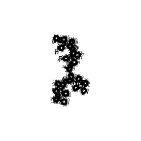 Cc1cccc2c1oc1c(N(c3ccc(F)cc3)c3cc4c5cc(N(c6ccc(F)cc6)c6cccc7c6oc6c(C)cc(-c8ccc9c(N(c%10ccccc%10)c%10cccc%11c%10oc%10c(C%12CCCCC%12)cccc%10%11)cc%10c%11cc(N(c%12ccccc%12)c%12cccc%13c%12oc%12c(C%14CCCCC%14)cccc%12%13)c%12ccccc%12c%11oc%10c9c8)cc67)c6ccccc6c5oc4c4ccccc34)cccc12